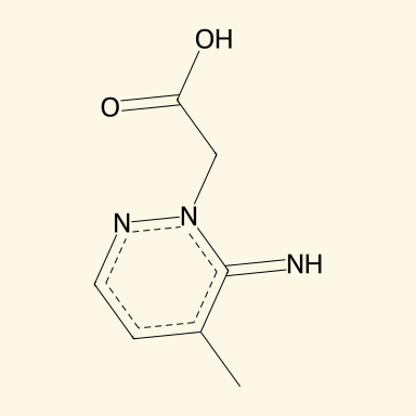 Cc1ccnn(CC(=O)O)c1=N